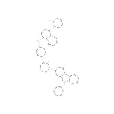 c1ccc(-c2ccc3c4c(cccc24)-c2cc(-c4cccc(-c5ccc6c7ccccc7n(-c7ccccc7)c6c5)c4)ccc2S3)cc1